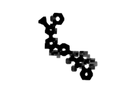 Cc1c(C(=O)Nc2ccc(-c3nc(-c4cc(C5CC5)n(C5CCCCO5)n4)cnc3N)nc2)c(=O)n(-c2ccccc2Cl)n1C